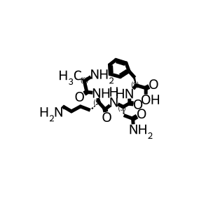 C[C@H](N)C(=O)N[C@@H](CCCCN)C(=O)N[C@@H](CC(N)=O)C(=O)N[C@@H](Cc1ccccc1)C(=O)O